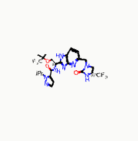 CC(C)n1nccc1C(=O)N[C@@H](COC(C)(C)C(F)(F)F)c1nc2nc(CN3C[C@H](C(F)(F)F)NC3=O)ccc2[nH]1